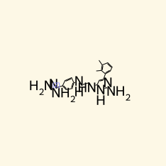 Cc1cccc(C2=CC(NCCNc3ccc(/C(N)=N/N)cc3)NC(N)=N2)c1C